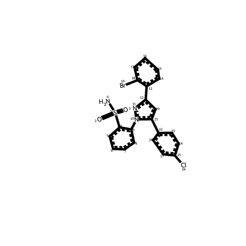 NS(=O)(=O)c1ccccc1-n1nc(-c2ccccc2Br)cc1-c1ccc(Cl)cc1